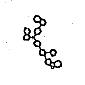 c1ccc(-c2cc(-c3ccc(N(c4ccc(-c5cccc6ccccc56)cc4)c4cccc5ccccc45)cc3)ccc2-c2ccc3oc4ccccc4c3c2)cc1